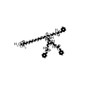 CC(C)(C)OC(=O)CCOCCOCCOCCOCCNC(=O)[C@H](CCCCNC(=O)OCc1ccccc1)NC(=O)[C@H](CCCCNC(=O)OCc1ccccc1)NC(=O)CCCNC(=O)OCc1ccccc1